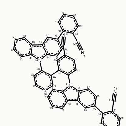 N#Cc1ccc(-n2c3ccccc3c3cc(-c4ccccc4C#N)ccc32)c(-c2cnccc2-n2c3ccccc3c3cc(-c4ccccc4C#N)ccc32)c1